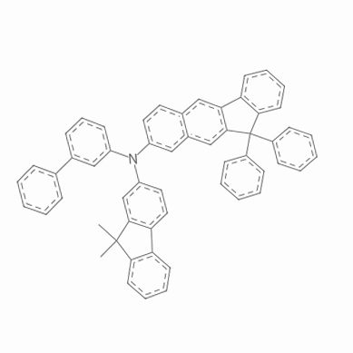 CC1(C)c2ccccc2-c2ccc(N(c3cccc(-c4ccccc4)c3)c3ccc4cc5c(cc4c3)C(c3ccccc3)(c3ccccc3)c3ccccc3-5)cc21